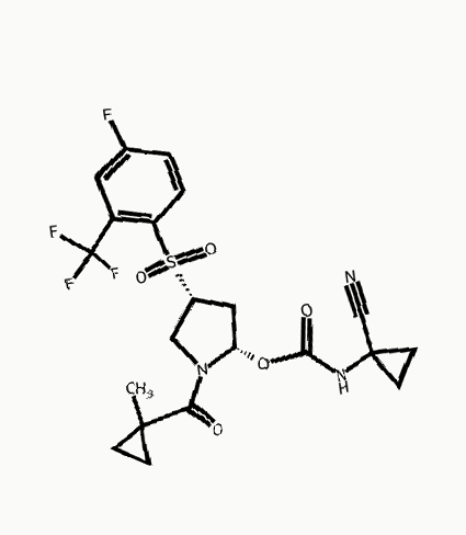 CC1(C(=O)N2C[C@H](S(=O)(=O)c3ccc(F)cc3C(F)(F)F)C[C@@H]2OC(=O)NC2(C#N)CC2)CC1